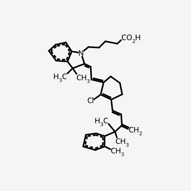 C=C(/C=C/C1=C(Cl)C(=C/C=C2/N(CCCCC(=O)O)c3ccccc3C2(C)C)/CCC1)C(C)(C)c1ccccc1C